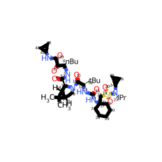 CCCC[C@H](NC(=O)[C@@H]1[C@@H]2[C@H](CN1C(=O)[C@@H](NC(=O)NC1(CS(=O)(=O)N(C(C)C)C3CC3)CCCCC1)C(C)(C)C)C2(C)C)C(=O)C(=O)NC1CC1